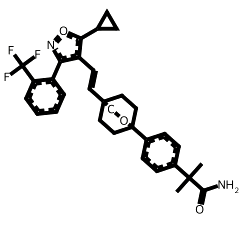 CC(C)(C(N)=O)c1ccc(C23CCC(/C=C/c4c(-c5ccccc5C(F)(F)F)noc4C4CC4)(CC2)CO3)cc1